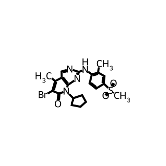 Cc1cc(S(C)(=O)=O)ccc1Nc1ncc2c(C)c(Br)c(=O)n(C3CCCC3)c2n1